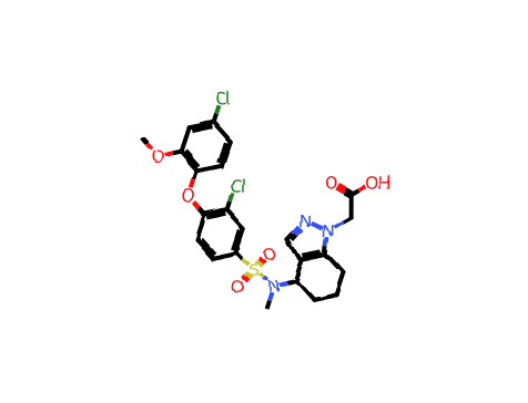 COc1cc(Cl)ccc1Oc1ccc(S(=O)(=O)N(C)C2CCCc3c2cnn3CC(=O)O)cc1Cl